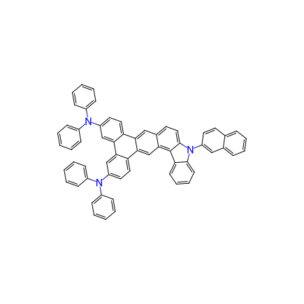 c1ccc(N(c2ccccc2)c2ccc3c(c2)c2cc(N(c4ccccc4)c4ccccc4)ccc2c2cc4c(ccc5c4c4ccccc4n5-c4ccc5ccccc5c4)cc32)cc1